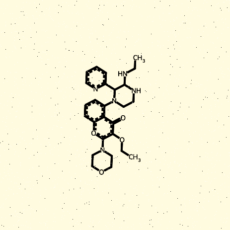 CCNC1NCCN(c2cccc3oc(N4CCOCC4)c(OCC)c(=O)c23)C1c1ccccn1